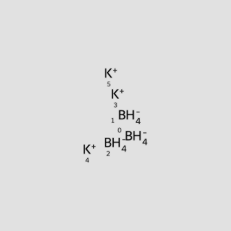 [BH4-].[BH4-].[BH4-].[K+].[K+].[K+]